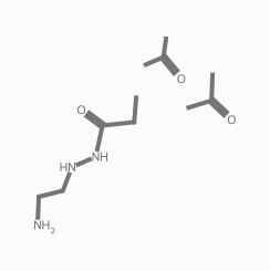 CC(C)=O.CC(C)=O.CCC(=O)NNCCN